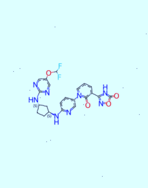 O=c1[nH]c(-c2cccn(-c3ccc(N[C@H]4CC[C@H](Nc5ncc(OC(F)F)cn5)C4)nc3)c2=O)no1